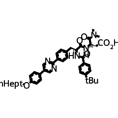 CCCCCCCOc1ccc(-c2cnc(-c3ccc(C[C@H](NC(=O)c4ccc(C(C)(C)C)cc4)C(=O)N[C@@H](CC(=O)O)C(=O)N(C)C)cc3)nc2)cc1